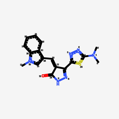 CN(C)c1nnc(C2=NNC(=O)C2=Cc2cn(C)c3ccccc23)s1